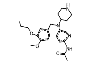 CCCOc1cc(CN(c2ccc(NC(C)=O)nc2)C2CCNCC2)ccc1OC